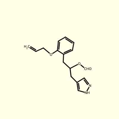 C=CCOc1ccccc1CC(Cc1cn[nH]c1)OC=O